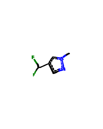 Cn1cc(C(F)F)cn1